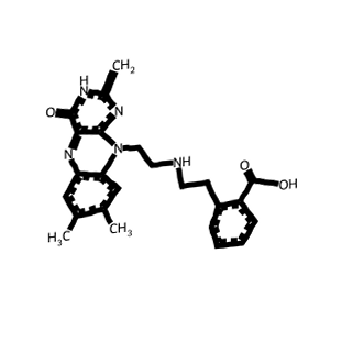 C=c1nc2c(c(=O)[nH]1)=Nc1cc(C)c(C)cc1N2CCNCCc1ccccc1C(=O)O